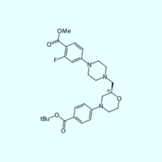 COC(=O)c1ccc(N2CCN(C[C@@H]3CN(c4ccc(C(=O)OC(C)(C)C)cc4)CCO3)CC2)cc1F